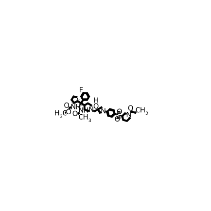 C=CC(=O)N1CCC[C@@H](S(=O)(=O)c2ccc(N3CC(O)(CN4CCC([C@@](CNC(C)=O)(c5cccc(F)c5)[C@H]5CCC[C@@H]5NC(=O)OC)CC4)C3)cc2)C1